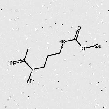 CCCN(CCCNC(=O)OC(C)(C)C)C(C)=N